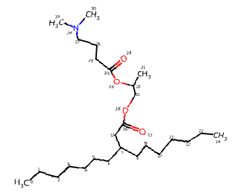 CCCCCCCC(CCCCCCC)CC(=O)OCC(C)OC(=O)CCCN(C)C